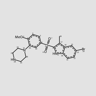 COc1ccc(S(=O)(=O)c2[nH]c3ccc(Br)cc3c2C)cc1N1CCNCC1